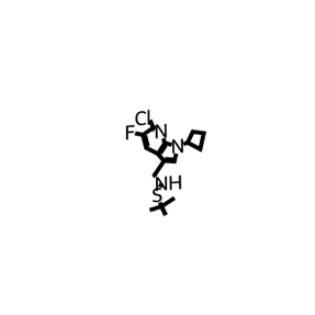 CC(C)(C)SNCc1cn(C2CCC2)c2nc(Cl)c(F)cc12